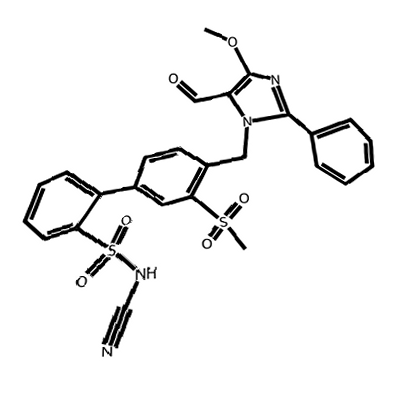 COc1nc(-c2ccccc2)n(Cc2ccc(-c3ccccc3S(=O)(=O)NC#N)cc2S(C)(=O)=O)c1C=O